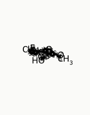 CC(=O)CCc1ccc2c(c1)COc1ccc(OCc3ccc4ccc(Cl)c(F)c4n3)cc1C2SCCC(=O)O